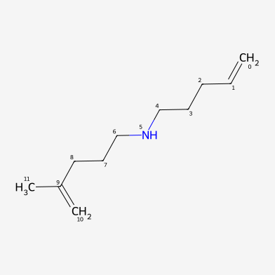 C=CCCCNCCCC(=C)C